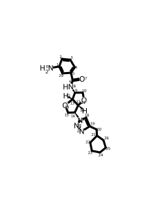 Nc1cccc(C(=O)N[C@H]2CO[C@H]3[C@@H]2OC[C@@H]3n2cc(CC3CCCCC3)nn2)c1